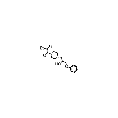 CCN(CC)C(=O)N1CCN(CC(O)COc2ccccc2)CC1